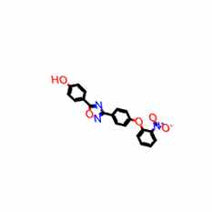 O=[N+]([O-])c1ccccc1Oc1ccc(-c2noc(-c3ccc(O)cc3)n2)cc1